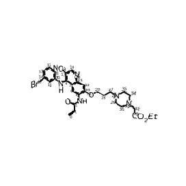 C=CC(=O)Nc1cc2c(Nc3cccc(Br)c3)c(C#N)cnc2cc1OCCCN1CCN(CC(=O)OCC)CC1